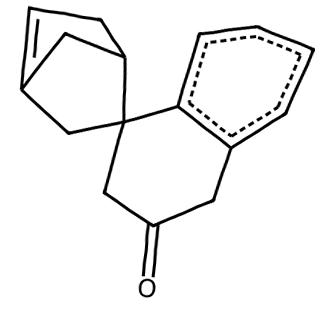 O=C1Cc2ccccc2C2(C1)CC1=CCC2C1